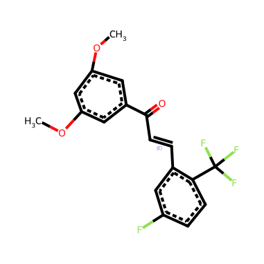 COc1cc(OC)cc(C(=O)/C=C/c2cc(F)ccc2C(F)(F)F)c1